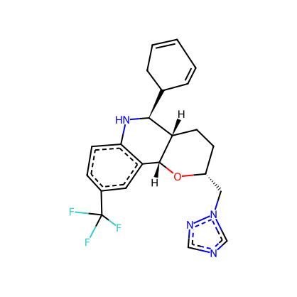 FC(F)(F)c1ccc2c(c1)[C@H]1O[C@@H](Cn3cncn3)CC[C@H]1[C@H](C1C=CC=CC1)N2